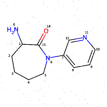 NC1CCCCN(c2cccnc2)C1=O